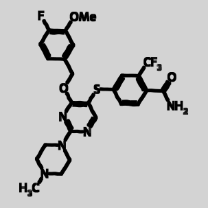 COc1cc(COc2nc(N3CCN(C)CC3)ncc2Sc2ccc(C(N)=O)c(C(F)(F)F)c2)ccc1F